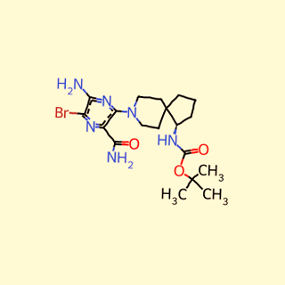 CC(C)(C)OC(=O)N[C@@H]1CCCC12CCN(c1nc(N)c(Br)nc1C(N)=O)CC2